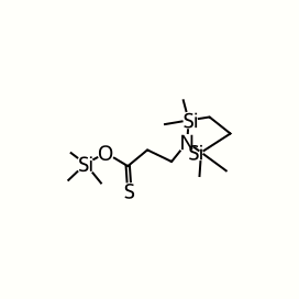 C[Si](C)(C)OC(=S)CCN1[Si](C)(C)CC[Si]1(C)C